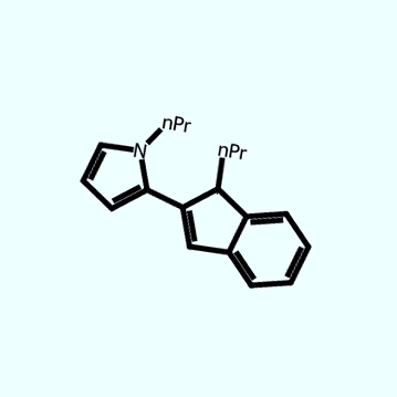 CCC[C]1C(c2cccn2CCC)=Cc2ccccc21